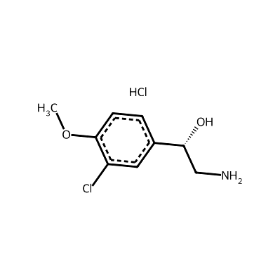 COc1ccc([C@H](O)CN)cc1Cl.Cl